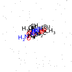 C=C(C)OC(=O)[C@@H](NC(=O)N[C@H](C(=O)N1C[C@H]2[C@@H]([C@H]1C(=O)NC(CC1CC1)C(=O)C(N)=O)C2(C)C)C1(C)CCCC1)C(C)(C)C